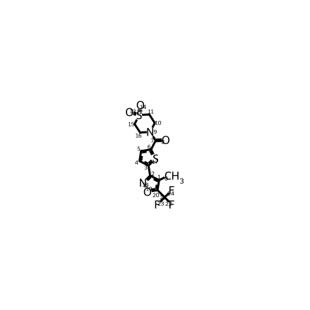 Cc1c(-c2ccc(C(=O)N3CCS(=O)(=O)CC3)s2)noc1C(F)(F)F